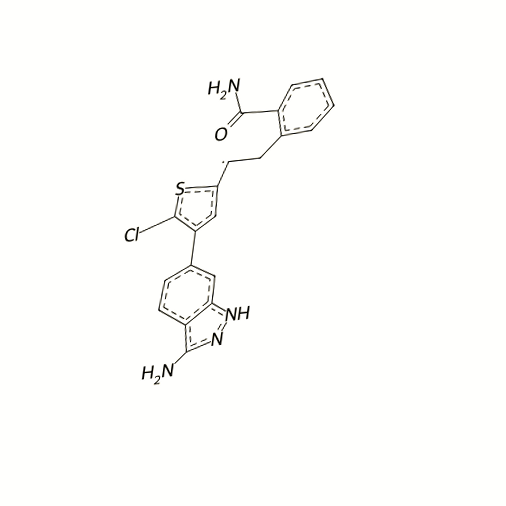 NC(=O)c1ccccc1C[CH]c1cc(-c2ccc3c(N)n[nH]c3c2)c(Cl)s1